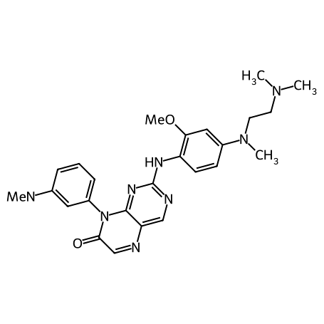 CNc1cccc(-n2c(=O)cnc3cnc(Nc4ccc(N(C)CCN(C)C)cc4OC)nc32)c1